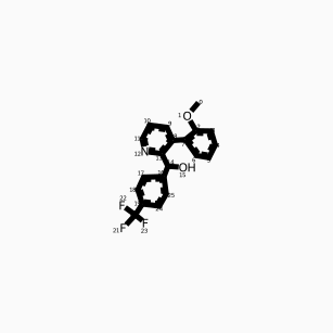 COc1ccccc1-c1cccnc1C(O)c1ccc(C(F)(F)F)cc1